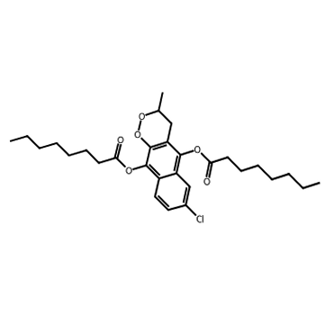 CCCCCCCC(=O)Oc1c2c(c(OC(=O)CCCCCCC)c3ccc(Cl)cc13)OOC(C)C2